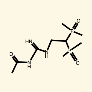 CC(=O)NC(=N)NCC(P(C)(C)=O)P(C)(C)=O